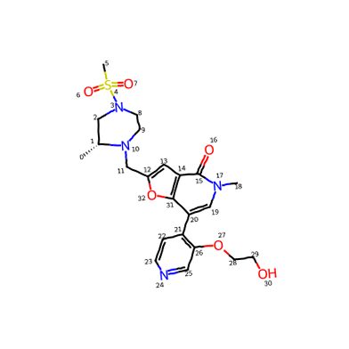 C[C@@H]1CN(S(C)(=O)=O)CCN1Cc1cc2c(=O)n(C)cc(-c3ccncc3OCCO)c2o1